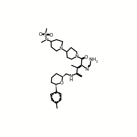 C=C(NC[C@@H]1CCC[C@H](c2ccc(C)cc2)O1)/C(C)=C(\N=C/N)C(=O)N1CCC(N2CCC(N(C)S(C)(=O)=O)CC2)CC1